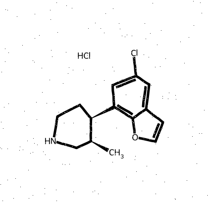 C[C@H]1CNCC[C@H]1c1cc(Cl)cc2ccoc12.Cl